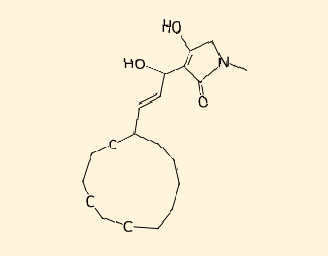 CN1CC(O)=C(C(O)C=CC2CCCCCCCCCCC2)C1=O